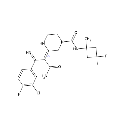 CC1(NC(=O)N2CCN/C(=C(\C(=N)c3ccc(F)c(Cl)c3)C(N)=O)C2)CC(F)(F)C1